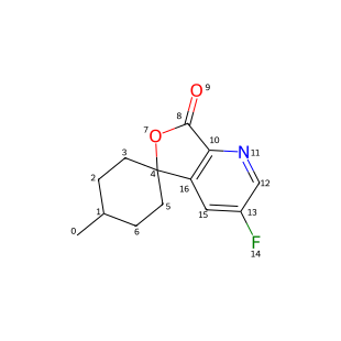 CC1CCC2(CC1)OC(=O)c1ncc(F)cc12